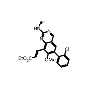 CCOC(=O)C=Cc1c(OC)c(-c2ccccc2Cl)cc2cnc(NC(C)C)nc12